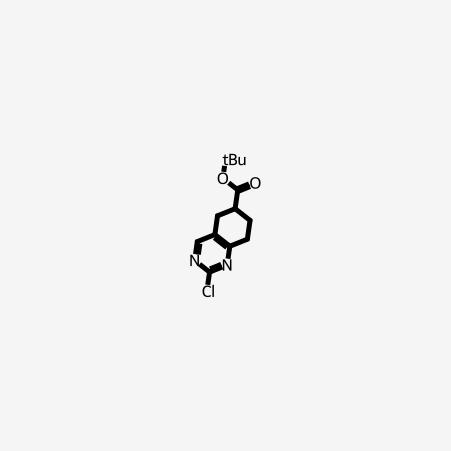 CC(C)(C)OC(=O)C1CCc2nc(Cl)ncc2C1